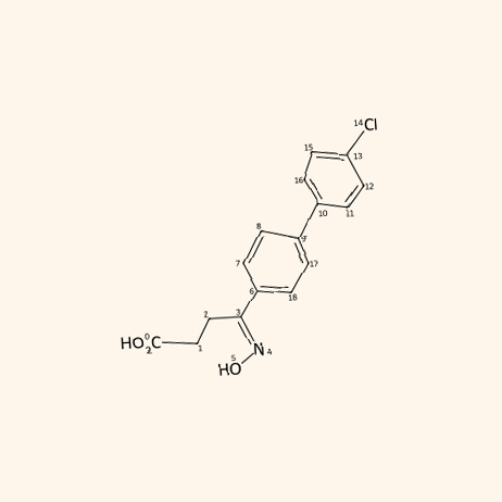 O=C(O)CCC(=NO)c1ccc(-c2ccc(Cl)cc2)cc1